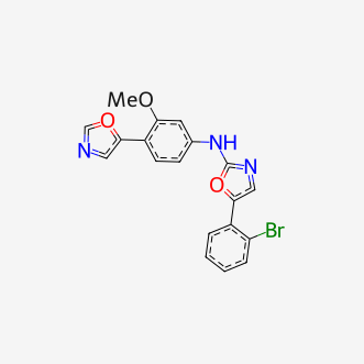 COc1cc(Nc2ncc(-c3ccccc3Br)o2)ccc1-c1cnco1